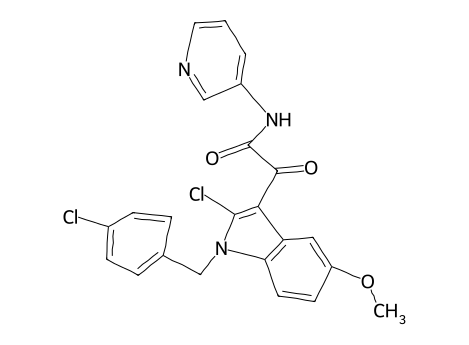 COc1ccc2c(c1)c(C(=O)C(=O)Nc1cccnc1)c(Cl)n2Cc1ccc(Cl)cc1